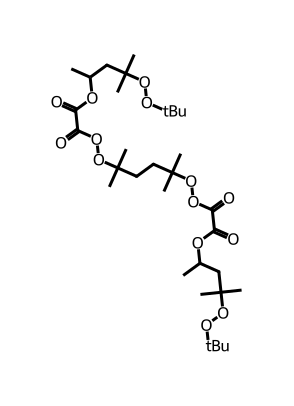 CC(CC(C)(C)OOC(C)(C)C)OC(=O)C(=O)OOC(C)(C)CCC(C)(C)OOC(=O)C(=O)OC(C)CC(C)(C)OOC(C)(C)C